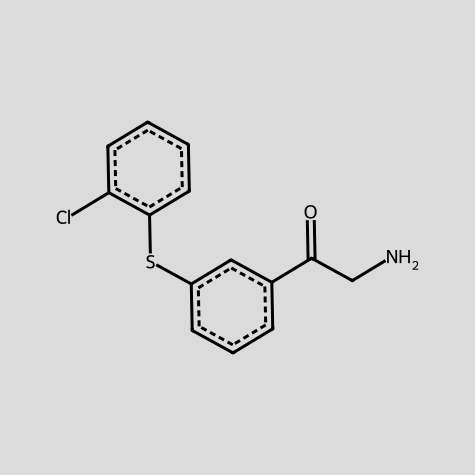 NCC(=O)c1cccc(Sc2ccccc2Cl)c1